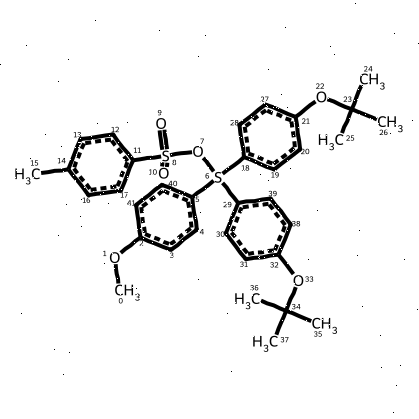 COc1ccc(S(OS(=O)(=O)c2ccc(C)cc2)(c2ccc(OC(C)(C)C)cc2)c2ccc(OC(C)(C)C)cc2)cc1